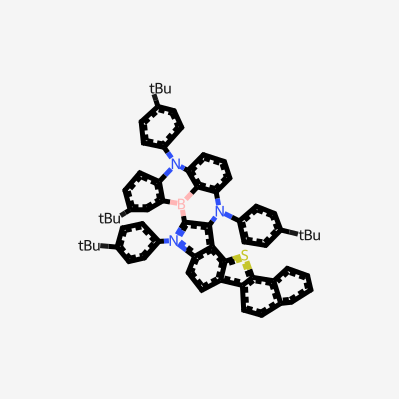 CC(C)(C)c1ccc(N2c3ccc(C(C)(C)C)cc3B3c4c2cccc4N(c2ccc(C(C)(C)C)cc2)c2c3n(-c3ccc(C(C)(C)C)cc3)c3ccc4c5ccc6ccccc6c5sc4c23)cc1